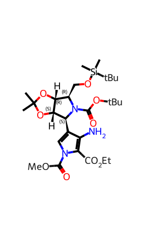 CCOC(=O)c1c(N)c([C@H]2[C@@H]3OC(C)(C)O[C@@H]3[C@@H](CO[Si](C)(C)C(C)(C)C)N2C(=O)OC(C)(C)C)cn1C(=O)OC